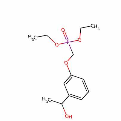 CCOP(=O)(COc1cccc(C(C)O)c1)OCC